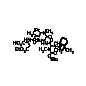 CCOC(=O)C[C@H](NC(=O)/C(C)=C/[C@H](C(C)C)N(C)C(=O)[C@@H](NC(=O)[C@@H](N(C)C(=O)OC(C)(C)C)C(C)(C)c1cn(C)c2ccccc12)C(C)(C)C)C(=O)O